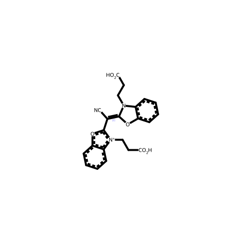 N#C/C(=C1/Oc2ccccc2N1CCC(=O)O)c1oc2ccccc2[n+]1CCC(=O)O